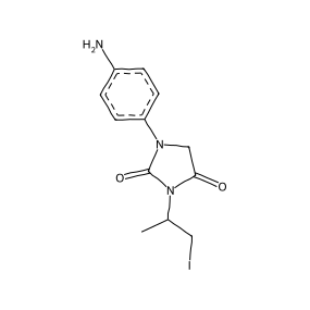 CC(CI)N1C(=O)CN(c2ccc(N)cc2)C1=O